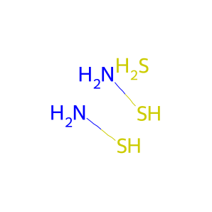 NS.NS.S